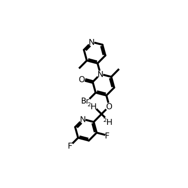 [2H]C([2H])(Oc1cc(C)n(-c2ccncc2C)c(=O)c1Br)c1ncc(F)cc1F